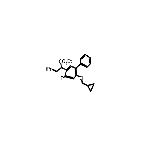 CCOC(=O)C(CC(C)C)c1cc(-c2ccccc2)c(OCC2CC2)cc1F